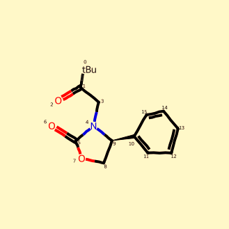 CC(C)(C)C(=O)CN1C(=O)OC[C@@H]1c1ccccc1